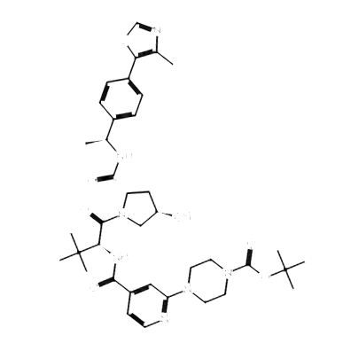 Cc1ncsc1-c1ccc([C@H](C)NC(=O)[C@@H]2C[C@@H](O)CN2C(=O)[C@@H](NC(=O)c2ccnc(N3CCN(C(=O)OC(C)(C)C)CC3)c2)C(C)(C)C)cc1